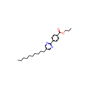 CCCCCCCCCCc1cnc(-c2ccc(C(=O)OCCC)cc2)nc1